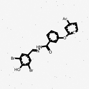 CC(=O)c1cccc(Oc2cccc(C(=O)NN=Cc3cc(Br)c(O)c(Br)c3)c2)c1